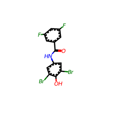 O=C(Nc1cc(Br)c(O)c(Br)c1)c1cc(F)cc(F)c1